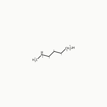 CCCCNC.[LiH]